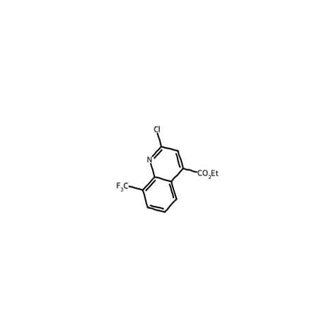 CCOC(=O)c1cc(Cl)nc2c(C(F)(F)F)cccc12